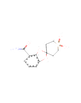 NC(=O)c1cccc2c1OC1(CCS(=O)(=O)CC1)O2